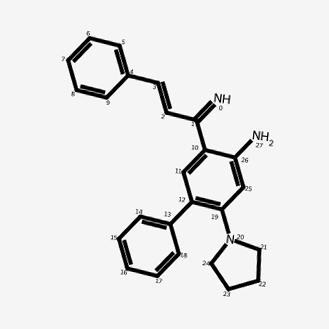 N=C(/C=C/c1ccccc1)c1cc(-c2ccccc2)c(N2CCCC2)cc1N